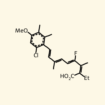 CCC(C(=O)O)=C(C)C(F)=CC=C(C)C=Cc1c(Cl)cc(OC)c(C)c1C